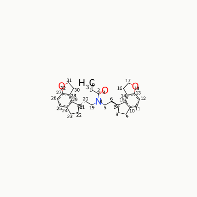 CCC(=O)N(CC[C@@H]1CCc2ccc3c(c21)CCO3)CC[C@@H]1CCc2ccc3c(c21)CCO3